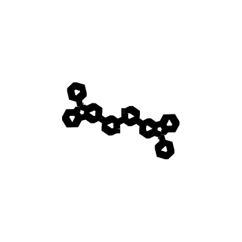 c1ccc(-n2c3ccccc3c3cc(-c4ccnc(-c5cc(-c6ccc7c(c6)c6ccccc6n7-c6ccccc6)ccn5)c4)ccc32)cc1